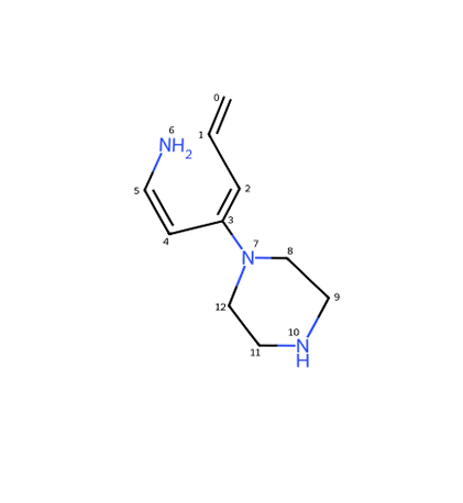 C=C/C=C(\C=C/N)N1CCNCC1